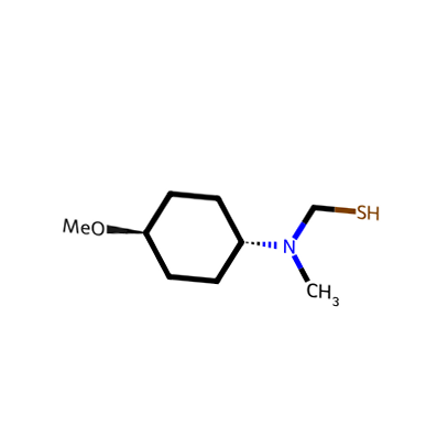 CO[C@H]1CC[C@H](N(C)CS)CC1